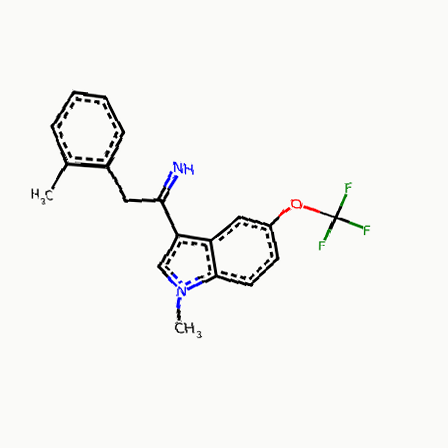 Cc1ccccc1CC(=N)c1cn(C)c2ccc(OC(F)(F)F)cc12